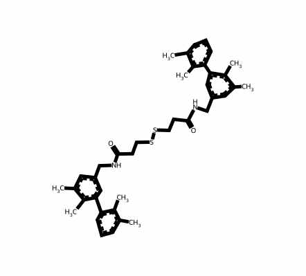 Cc1cccc(-c2cc(CNC(=O)CCSSCCC(=O)NCc3cc(C)c(C)c(-c4cccc(C)c4C)c3)cc(C)c2C)c1C